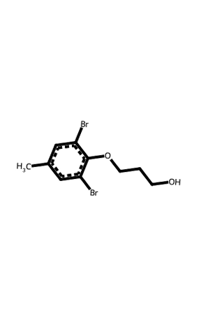 Cc1cc(Br)c(OCCCO)c(Br)c1